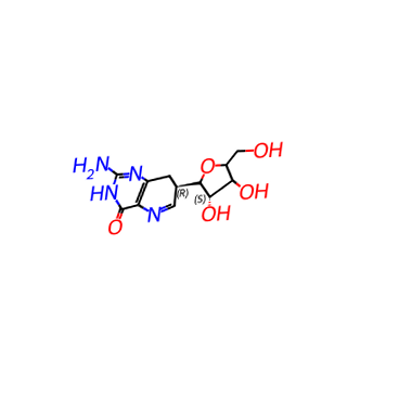 Nc1nc2c(c(=O)[nH]1)N=C[C@H](C1OC(CO)C(O)[C@@H]1O)C2